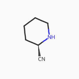 N#C[C@H]1CCCCN1